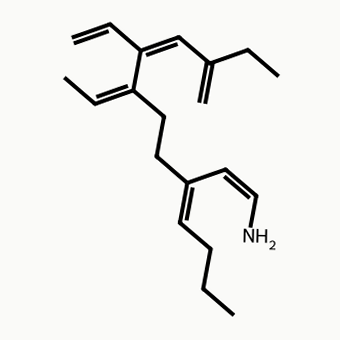 C=CC(=C/C(=C)CC)/C(=C\C)CCC(/C=C\N)=C/CCC